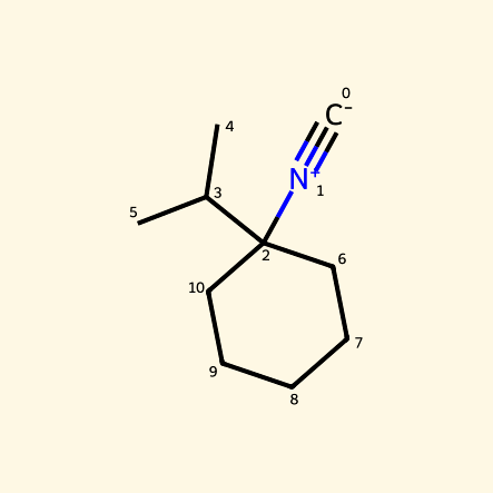 [C-]#[N+]C1(C(C)C)CCCCC1